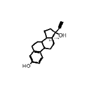 C#CC1(O)CCC2C3CCc4cc(O)ccc4C3CC[C@@]21C